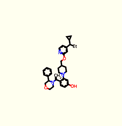 C=C(c1ccc(O)cc1N1CCC(COc2cc(C(CC)C3CC3)ccn2)CC1)N1CCOCC1c1ccccc1